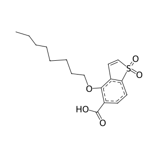 CCCCCCCCOc1c(C(=O)O)ccc2c1C=CS2(=O)=O